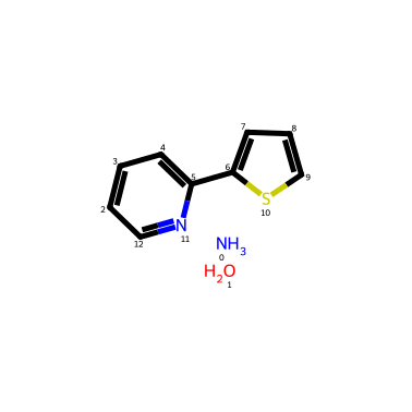 N.O.c1ccc(-c2cccs2)nc1